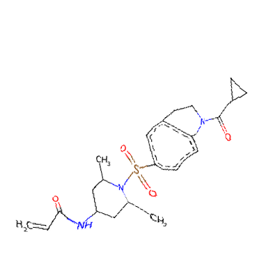 C=CC(=O)NC1CC(C)N(S(=O)(=O)c2ccc3c(c2)CCN3C(=O)C2CC2)C(C)C1